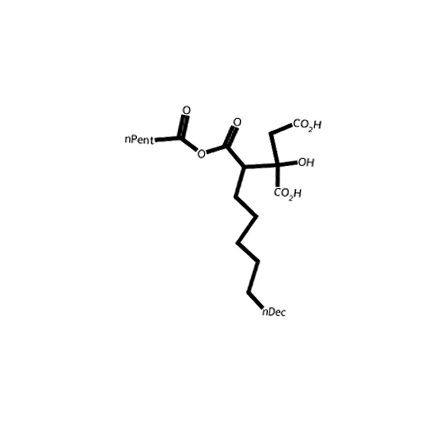 CCCCCCCCCCCCCCCC(C(=O)OC(=O)CCCCC)C(O)(CC(=O)O)C(=O)O